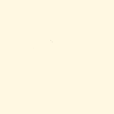 Oc1ccccc1NCc1cc(-c2cccc(F)c2)ccc1F